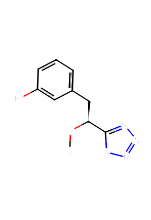 CCO[C@@H](Cc1cccc(O)c1)c1nnn[nH]1